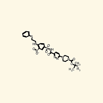 CC(C)(C)OC(=O)N1CCN(c2ccc(C(=O)NS(=O)(=O)c3ccc(NCCSc4ccccc4)c([N+](=O)[O-])c3)nn2)CC1